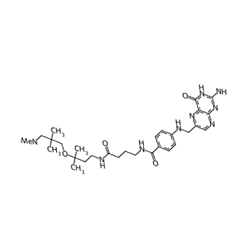 CNCC(C)(C)COC(C)(C)CCNC(=O)CCCNC(=O)c1ccc(NCc2cnc3nc(N)[nH]c(=O)c3n2)cc1